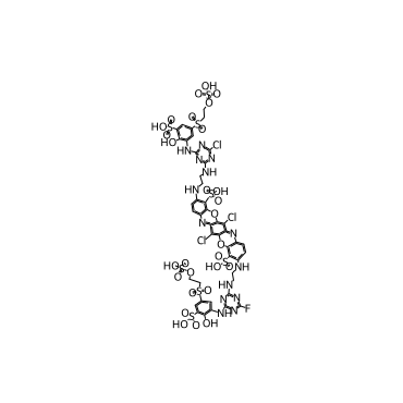 O=S(=O)(O)OCCS(=O)(=O)c1cc(Nc2nc(F)nc(NCCNc3ccc4c(c3S(=O)(=O)O)Oc3c(Cl)c5c(c(Cl)c3=N4)Oc3c(ccc(NCCNc4nc(Cl)nc(Nc6cc(S(=O)(=O)CCOS(=O)(=O)O)cc(S(=O)(=O)O)c6O)n4)c3S(=O)(=O)O)N=5)n2)c(O)c(S(=O)(=O)O)c1